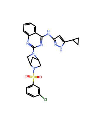 O=S(=O)(c1cccc(Cl)c1)N1CC2CC1CN2c1nc(Nc2cc(C3CC3)[nH]n2)c2ccccc2n1